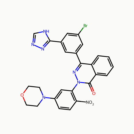 O=c1c2ccccc2c(-c2cc(Br)cc(-c3nnc[nH]3)c2)nn1-c1cc(N2CCOCC2)ccc1[N+](=O)[O-]